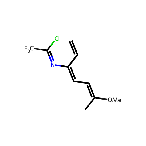 C=CC(=C\C=C(/C)OC)/N=C(\Cl)C(F)(F)F